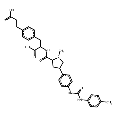 Cc1ccc(NC(=O)Nc2ccc(C3CC(C(=O)NC(Cc4ccc(CCC(=O)O)cc4)C(=O)O)N(C)C3)cc2)cc1